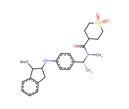 COC1c2ccccc2CC1Nc1ccc([C@H](N(C)C(=O)C2CCS(=O)(=O)CC2)C(F)(F)F)cc1